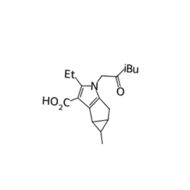 CCc1c(C(=O)O)c2c(n1CC(=O)C(C)CC)CC1C(C)C21